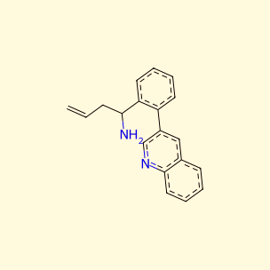 C=CCC(N)c1ccccc1-c1cnc2ccccc2c1